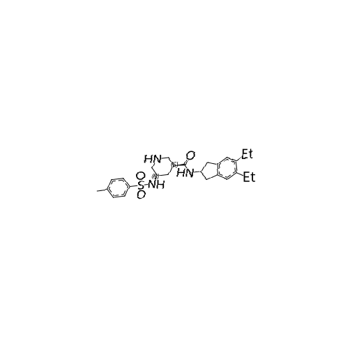 CCc1cc2c(cc1CC)CC(NC(=O)[C@@H]1CNC[C@H](NS(=O)(=O)c3ccc(C)cc3)C1)C2